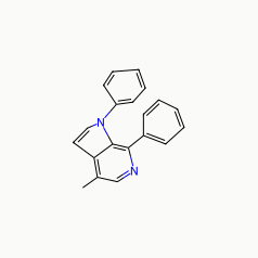 Cc1cnc(-c2ccccc2)c2c1ccn2-c1ccccc1